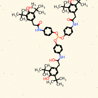 CC(C)(C)c1cc(CC(=O)Nc2ccc(OP(Oc3ccc(NC(=O)Cc4cc(C(C)(C)C)c(O)c(C(C)(C)C)c4)cc3)Oc3ccc(NC(O)Cc4cc(C(C)(C)C)c(O)c(C(C)(C)C)c4)cc3)cc2)cc(C(C)(C)C)c1O